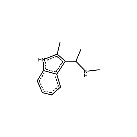 CNC(C)c1c(C)[nH]c2ccccc12